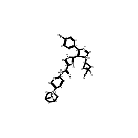 CCN1C2CC1CN(c1ccc(NC(=O)c3csc(-c4c(-c5ccc(F)cc5)ncn4C4CC(F)(F)C4)n3)nc1)C2